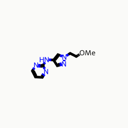 COCCn1cc(Nc2ncccn2)cn1